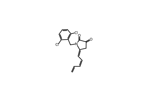 C=C/C=C\C=C1/CC(=O)C(=O)N1Cc1c(Cl)cccc1Cl